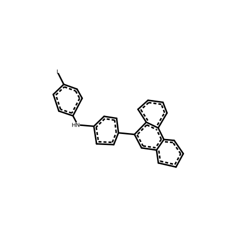 Ic1ccc(Nc2ccc(-c3cc4ccccc4c4ccccc34)cc2)cc1